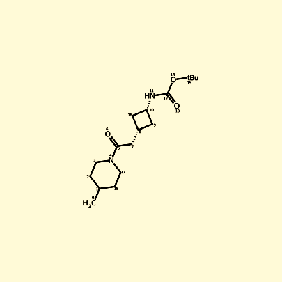 CC1CCN(C(=O)C[C@H]2C[C@@H](NC(=O)OC(C)(C)C)C2)CC1